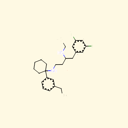 CC(C)(C)Cc1cccc(C2(NC[C@@H](O)C(Cc3cc(F)cc(F)c3)NCC(F)(F)F)CCCCC2)c1